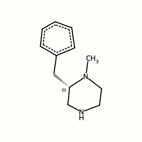 CN1CCNC[C@@H]1Cc1ccccc1